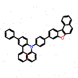 c1ccc(-c2ccc(N(c3ccccc3)c3ccc(-c4ccc5c(c4)oc4ccc6ccccc6c45)cc3)c(-c3ccccc3)c2)cc1